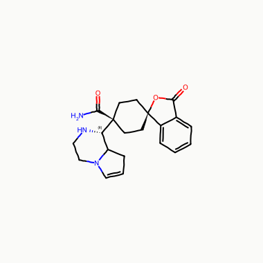 NC(=O)[C@]1([C@H]2NCCN3C=CCC23)CC[C@@]2(CC1)OC(=O)c1ccccc12